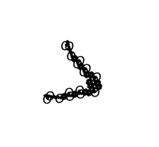 C=CC(=O)OCCCCOc1ccc(C(=O)Oc2ccc(C(=O)Oc3ccc4cc(C(=O)Oc5ccc6ccccc6c5-c5c(OC(=O)c6ccc7cc(OC(=O)c8ccc(OC(=O)c9ccc(OCCCCOC(=O)C=C)cc9)cc8)ccc7c6)ccc6ccccc56)ccc4c3)cc2)cc1